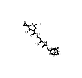 C=C(CCNC(=O)C1CC(C)ON(C2CC2)C1C)NC(=O)COC1=C2CCCC(=C1)C(Cl)C2F